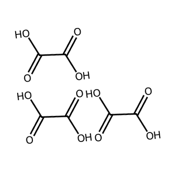 O=C(O)C(=O)O.O=C(O)C(=O)O.O=C(O)C(=O)O